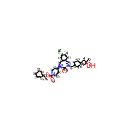 CC(C)(O)Cc1ccc(CN2Cc3ccc(F)cc3CN(C3CCN(C(=O)OCc4ccccc4)CC3)C2=O)cc1